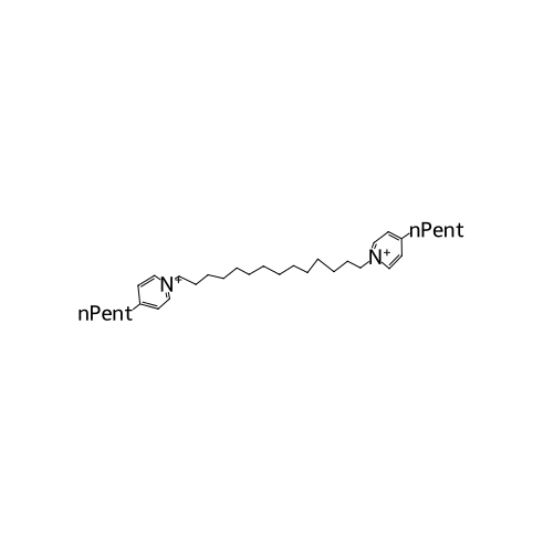 CCCCCc1cc[n+](CCCCCCCCCCCCCC[n+]2ccc(CCCCC)cc2)cc1